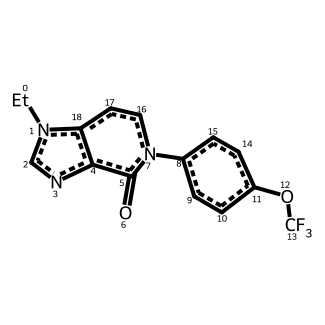 CCn1cnc2c(=O)n(-c3ccc(OC(F)(F)F)cc3)ccc21